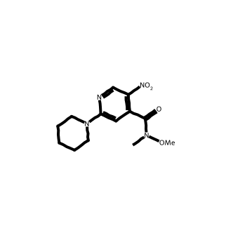 CON(C)C(=O)c1cc(N2CCCCC2)ncc1[N+](=O)[O-]